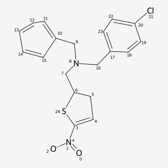 O=[N+]([O-])C1=CCC(CN(Cc2ccccc2)Cc2ccc(Cl)cc2)S1